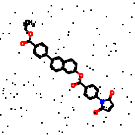 C=COC(=O)c1ccc(-c2ccc3cc(OC(=O)c4ccc(N5C(=O)C=CC5=O)cc4)ccc3c2)cc1